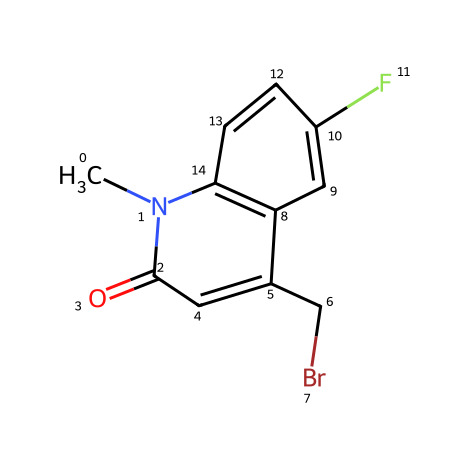 Cn1c(=O)cc(CBr)c2cc(F)ccc21